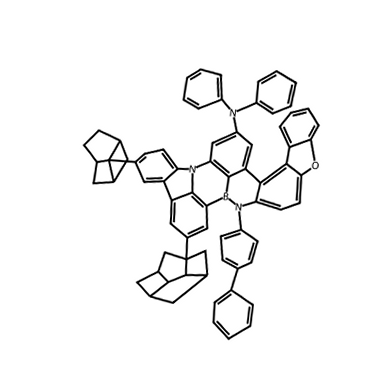 c1ccc(-c2ccc(N3B4c5c(cc(N(c6ccccc6)c6ccccc6)cc5-n5c6ccc(C78C9CCC7CC8C9)cc6c6cc(C78CC9CC%10CC(C7)C8C%109)cc4c65)-c4c3ccc3oc5ccccc5c43)cc2)cc1